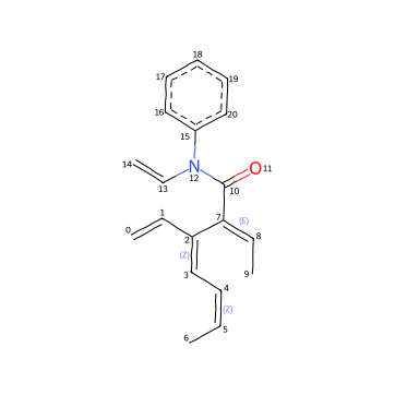 C=CC(=C/C=C\C)/C(=C\C)C(=O)N(C=C)c1ccccc1